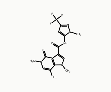 Cc1cn(C)c(=O)c2c(C(=O)Nc3cc(C(F)(F)F)nn3C)cn(C)c12